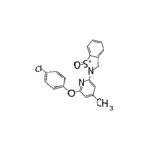 Cc1cc(Oc2ccc(Cl)cc2)nc(N2Cc3ccccc3[S+]2[O-])c1